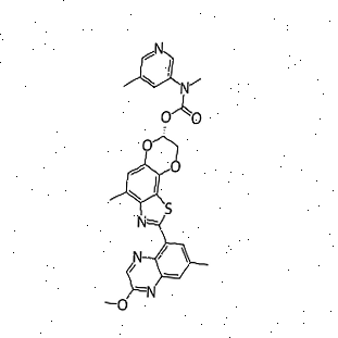 COc1cnc2c(-c3nc4c(C)cc5c(c4s3)OC[C@@H](OC(=O)N(C)c3cncc(C)c3)O5)cc(C)cc2n1